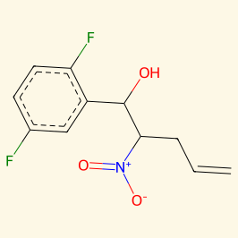 C=CCC(C(O)c1cc(F)ccc1F)[N+](=O)[O-]